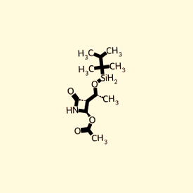 CC(=O)O[C@H]1NC(=O)[C@@H]1[C@@H](C)O[SiH2]C(C)(C)C(C)C